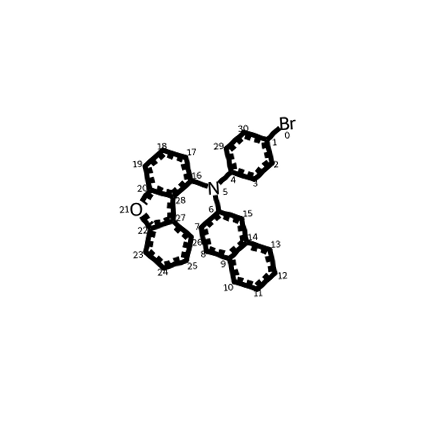 Brc1ccc(N(c2ccc3ccccc3c2)c2cccc3oc4ccccc4c23)cc1